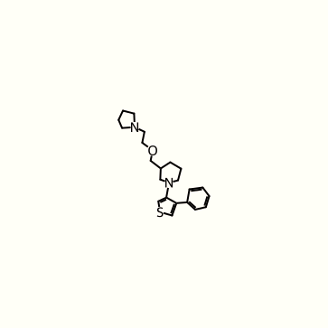 c1ccc(-c2cscc2N2CCCC(COCCN3CCCC3)C2)cc1